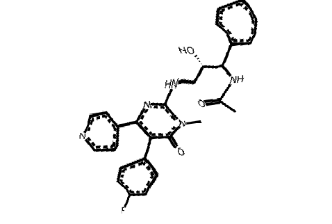 CC(=O)NC(c1ccccc1)[C@@H](O)CNc1nc(-c2ccncc2)c(-c2ccc(F)cc2)c(=O)n1C